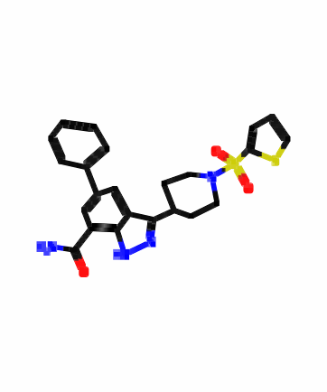 NC(=O)c1cc(-c2ccccc2)cc2c(C3CCN(S(=O)(=O)c4cccs4)CC3)n[nH]c12